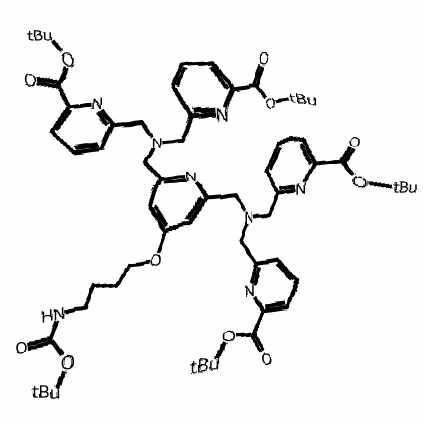 CC(C)(C)OC(=O)NCCCCOc1cc(CN(Cc2cccc(C(=O)OC(C)(C)C)n2)Cc2cccc(C(=O)OC(C)(C)C)n2)nc(CN(Cc2cccc(C(=O)OC(C)(C)C)n2)Cc2cccc(C(=O)OC(C)(C)C)n2)c1